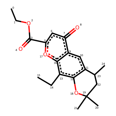 CCOC(=O)c1cc(=O)c2cc3c(c(CC)c2o1)OC(C)(C)CC3C